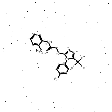 Cc1ccc(-n2c(SCC(=O)Nc3ccccc3C)nnc2C(F)(F)F)cc1